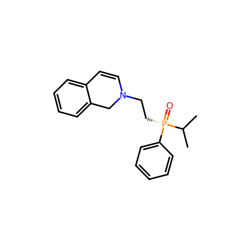 CC(C)[P@@](=O)(CCN1C=Cc2ccccc2C1)c1ccccc1